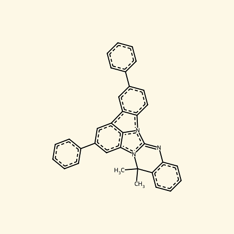 CC1(C)c2ccccc2N=c2n1c1cc(-c3ccccc3)cc3c4cc(-c5ccccc5)ccc4n2c31